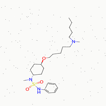 CCCCCN(C)CCCCCO[C@H]1CC[C@H](N(C)S(=O)(=O)Nc2ccccc2)CC1